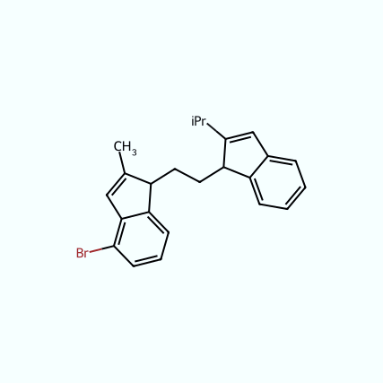 CC1=Cc2c(Br)cccc2C1CCC1C(C(C)C)=Cc2ccccc21